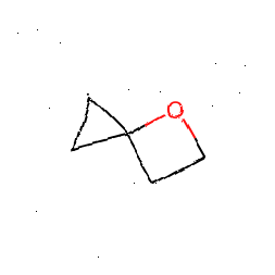 [CH]1CC12CCO2